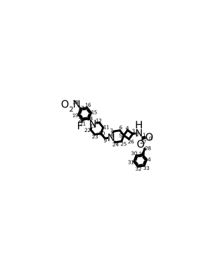 O=C(NC1CC2(CCN(CC3CCN(c4ccc([N+](=O)[O-])cc4F)CC3)CC2)C1)OCc1ccccc1